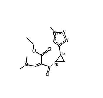 CCOC(=O)C(=CN(C)C)C(=O)[C@H]1C[C@@H]1c1cn(C)nn1